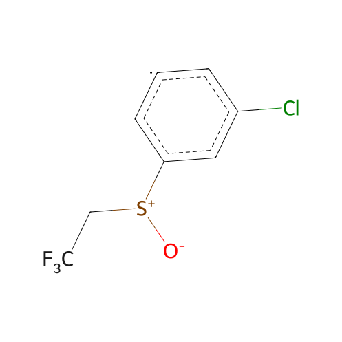 [O-][S+](CC(F)(F)F)c1c[c]cc(Cl)c1